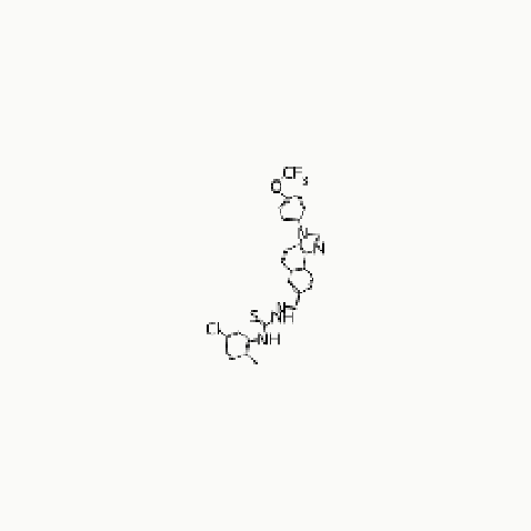 Cc1ccc(Cl)cc1NC(=S)NN=Cc1ccc2c(ccc3c2ncn3-c2ccc(OC(F)(F)F)cc2)c1